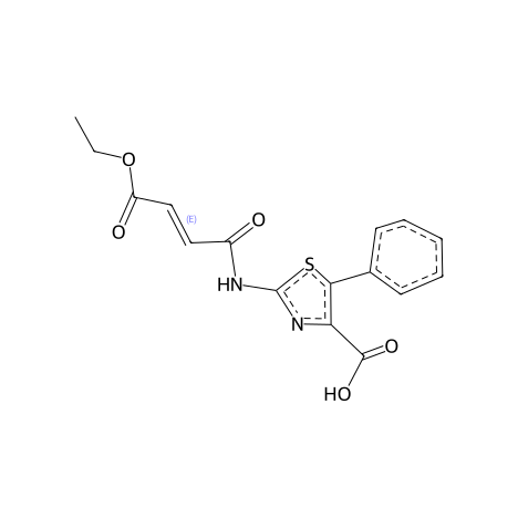 CCOC(=O)/C=C/C(=O)Nc1nc(C(=O)O)c(-c2ccccc2)s1